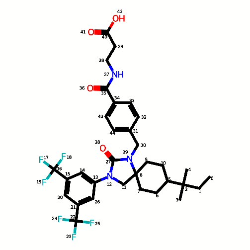 CCC(C)(C)C1CCC2(CC1)CN(c1cc(C(F)(F)F)cc(C(F)(F)F)c1)C(=O)N2Cc1ccc(C(=O)NCCC(=O)O)cc1